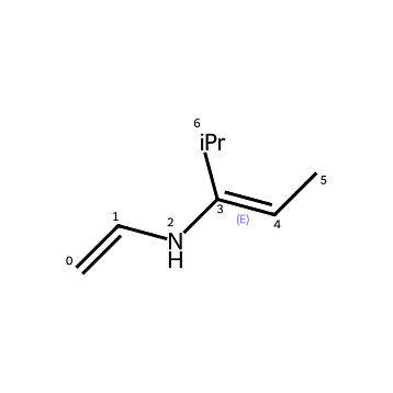 C=CN/C(=C/C)C(C)C